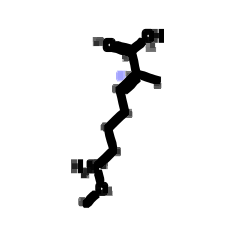 CO[SiH2]CCC/C=C(\C)C(=O)O